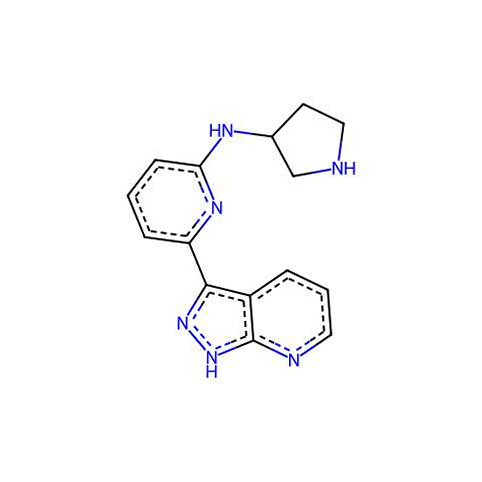 c1cc(NC2CCNC2)nc(-c2n[nH]c3ncccc23)c1